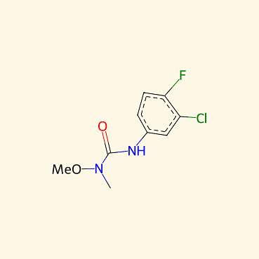 CON(C)C(=O)Nc1ccc(F)c(Cl)c1